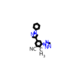 Cc1c(C#N)cc(-c2cnn(-c3ccccc3)c2)cc1-n1ncnn1